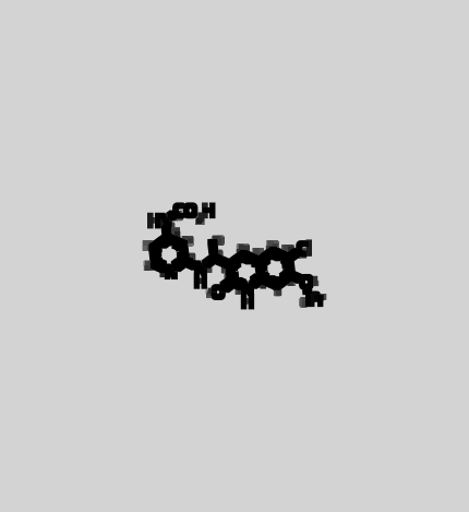 CC(C)Oc1cc2[nH]c(=O)c(C(C)Nc3cc(NC(=O)O)ccn3)cc2cc1Cl